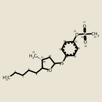 CCCCCC1OC(Sc2ccc(OS(C)(=O)=O)cc2)C[C@H]1C